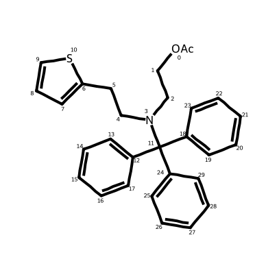 CC(=O)OCCN(CCc1cccs1)C(c1ccccc1)(c1ccccc1)c1ccccc1